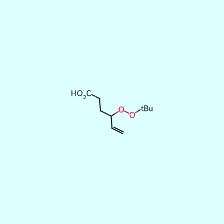 C=CC(CCC(=O)O)OOC(C)(C)C